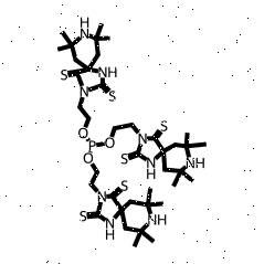 CC1(C)CC2(CC(C)(C)N1)NC(=S)N(CCOP(OCCN1C(=S)NC3(CC(C)(C)NC(C)(C)C3)C1=S)OCCN1C(=S)NC3(CC(C)(C)NC(C)(C)C3)C1=S)C2=S